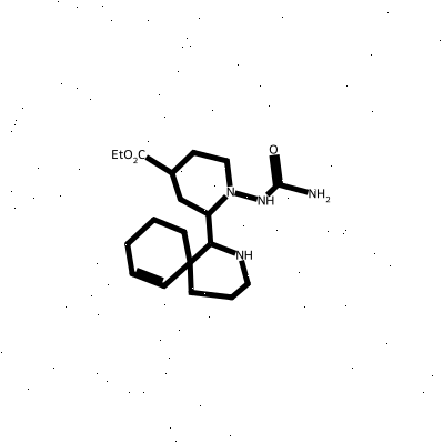 CCOC(=O)C1CCN(NC(N)=O)C(C2NCCCC23C=CCCC3)C1